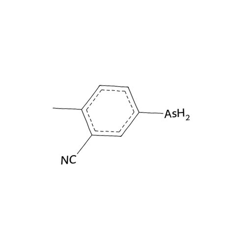 Cc1ccc([AsH2])cc1C#N